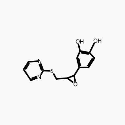 Oc1ccc(C2OC2CSc2ncccn2)cc1O